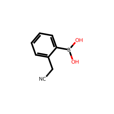 N#CCc1ccccc1B(O)O